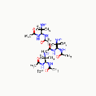 CC(=O)NC(NC(C)=O)C(C)(C)[NH-].CC(=O)NC(NC(C)=O)C(C)(C)[NH-].CC(=O)NC(NC(C)=O)C(C)(C)[NH-].[Ta+3]